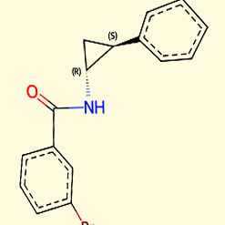 O=C(N[C@@H]1C[C@H]1c1ccccc1)c1cccc(Br)c1